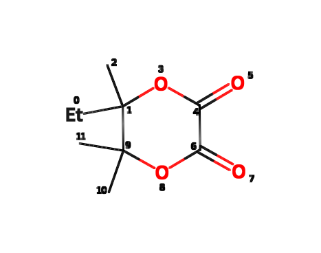 CCC1(C)OC(=O)C(=O)OC1(C)C